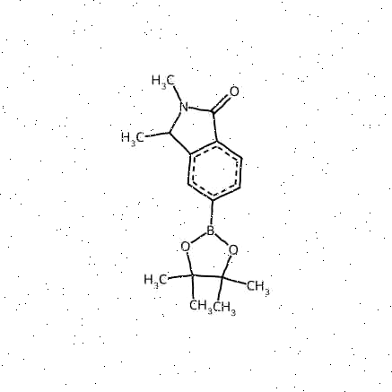 CC1c2cc(B3OC(C)(C)C(C)(C)O3)ccc2C(=O)N1C